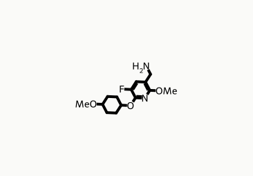 COc1nc(OC2CCC(OC)CC2)c(F)cc1CN